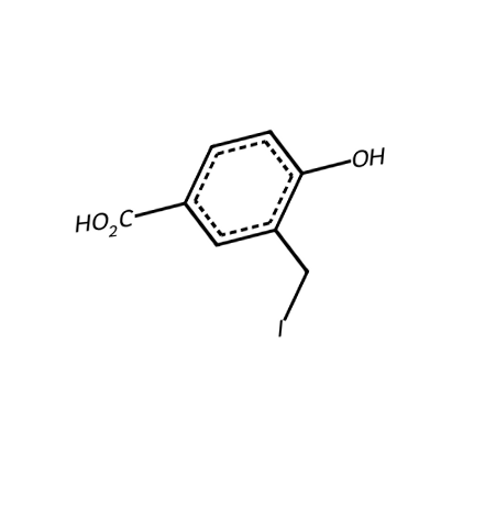 O=C(O)c1ccc(O)c(CI)c1